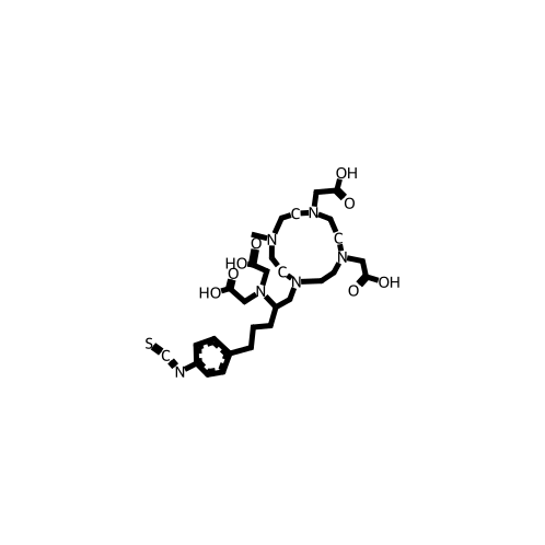 CN1CCN(CC(=O)O)CCN(CC(=O)O)CCN(CC(CCCc2ccc(N=C=S)cc2)N(CC(=O)O)CC(=O)O)CC1